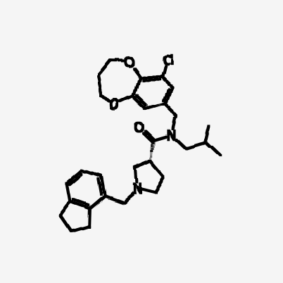 CC(C)CN(Cc1cc(Cl)c2c(c1)OCCCO2)C(=O)[C@@H]1CCN(Cc2cccc3c2CCC3)C1